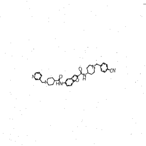 N#Cc1ccc(CN2CCC(NC(=O)c3cc4cc(NC(=O)C5CCN(Cc6cccnc6)CC5)ccc4o3)CC2)cc1